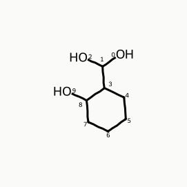 OC(O)C1CCCCC1O